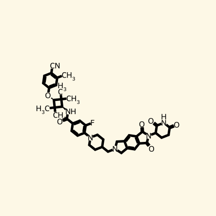 Cc1cc(O[C@H]2C(C)(C)[C@H](NC(=O)c3ccc(N4CCC(CN5Cc6cc7c(cc6C5)C(=O)N(C5CCC(=O)NC5=O)C7=O)CC4)c(F)c3)C2(C)C)ccc1C#N